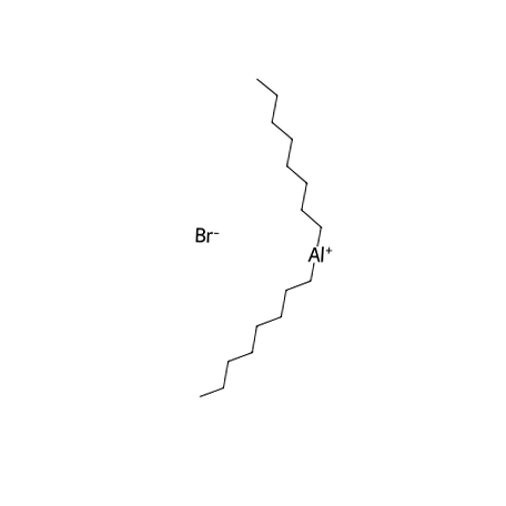 CCCCCCC[CH2][Al+][CH2]CCCCCCC.[Br-]